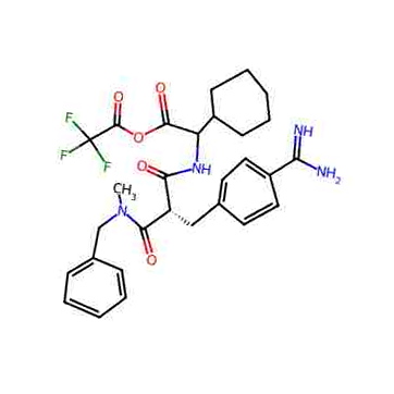 CN(Cc1ccccc1)C(=O)[C@@H](Cc1ccc(C(=N)N)cc1)C(=O)NC(C(=O)OC(=O)C(F)(F)F)C1CCCCC1